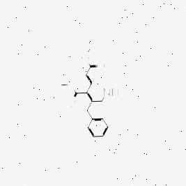 COC(=O)C=CC(C(=O)OC)=C(CN)Cc1ccccc1